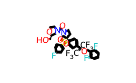 O=C(N1CCO[C@H](CO)C1)N1CC[C@](c2ccc(C(OCc3c(F)cccc3F)(C(F)(F)F)C(F)(F)F)cc2)(S(=O)(=O)c2ccc(F)cc2)C1